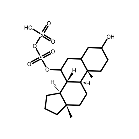 C[C@@]12CCC[C@H]1[C@@H]1C(OS(=O)(=O)OS(=O)(=O)O)CC3CC(O)CC[C@]3(C)[C@H]1CC2